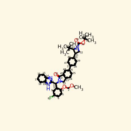 COCOc1ccc(F)cc1C(c1nc2ccccc2[nH]1)N1Cc2ccc(-c3ccc(C4CN(C(=O)OC(C)(C)C)C4C(C)(C)C)cc3)cc2C1=O